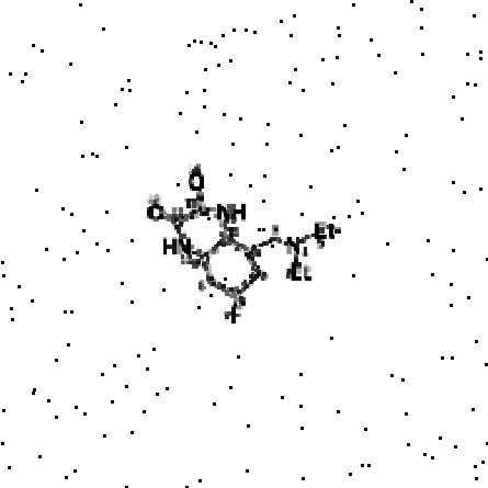 C[CH]N(CC)Cc1cc(F)cc2[nH]c(=O)c(=O)[nH]c12